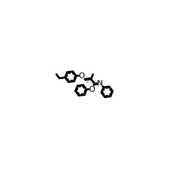 CCc1ccc(O/C=C(C)/C(=N/c2ccccc2)Oc2ccccc2)cc1